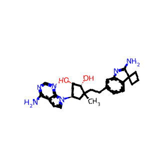 CC1(CCc2ccc3c(c2)N=C(N)C32CCC2)C[C@@H](n2ccc3c(N)ncnc32)[C@H](O)[C@@H]1O